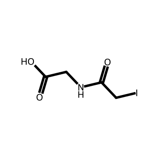 O=C(O)CNC(=O)CI